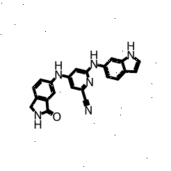 N#Cc1cc(Nc2ccc3c(c2)C(=O)NC3)cc(Nc2ccc3cc[nH]c3c2)n1